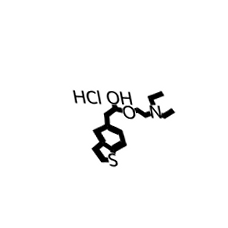 CCN(CC)CCOC(O)Cc1ccc2sccc2c1.Cl